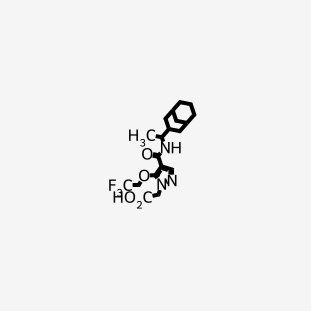 CC(NC(=O)c1cnn(CC(=O)O)c1OCC(F)(F)F)C1CC2CCCC(C2)C1